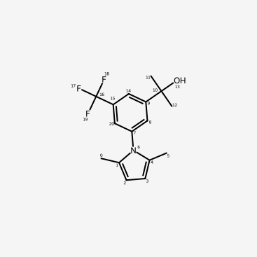 Cc1ccc(C)n1-c1cc(C(C)(C)O)cc(C(F)(F)F)c1